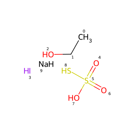 CCO.I.O=S(=O)(O)S.[NaH]